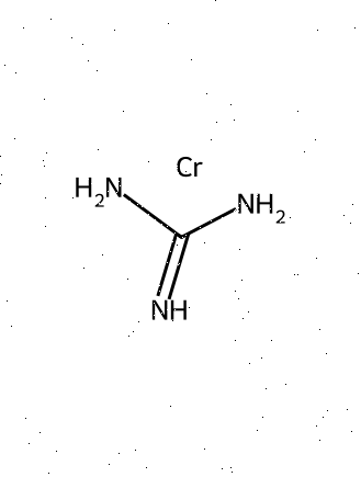 N=C(N)N.[Cr]